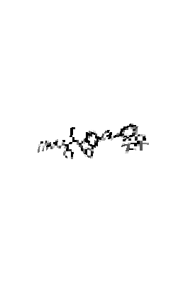 COC(=O)C(F)C1COc2cc(OCc3cccc4c3OC(F)(F)O4)ccc21